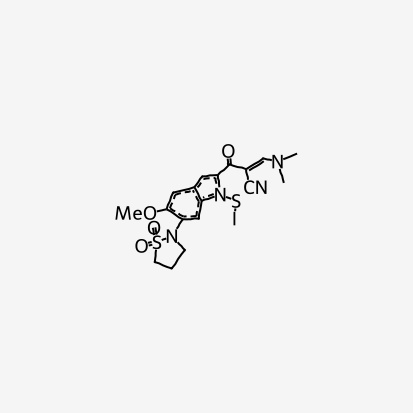 COc1cc2cc(C(=O)/C(C#N)=C/N(C)C)n(SI)c2cc1N1CCCS1(=O)=O